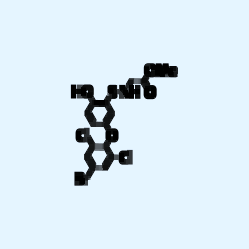 COC(=O)CNSc1cc(Oc2c(Cl)cc(Br)cc2Cl)ccc1O